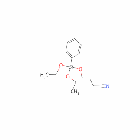 CCO[Si](OCC)(OCCCC#N)c1ccccc1